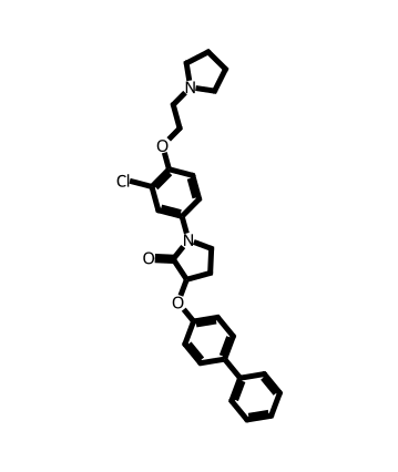 O=C1C(Oc2ccc(-c3ccccc3)cc2)CCN1c1ccc(OCCN2CCCC2)c(Cl)c1